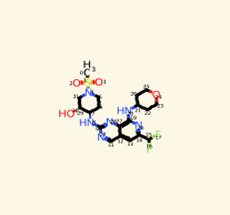 CS(=O)(=O)N1CC[C@@H](Nc2ncc3cc(C(F)F)nc(NC4CCOCC4)c3n2)[C@H](O)C1